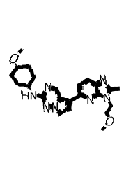 COCCn1c(C)nc2ccc(-c3ccn4nc(N[C@H]5CC[C@@H](OC)CC5)ncc34)nc21